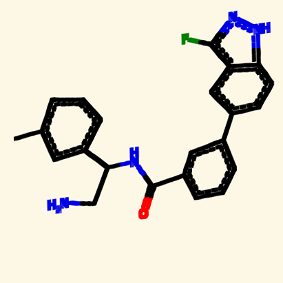 Cc1cccc(C(CN)NC(=O)c2cccc(-c3ccc4[nH]nc(F)c4c3)c2)c1